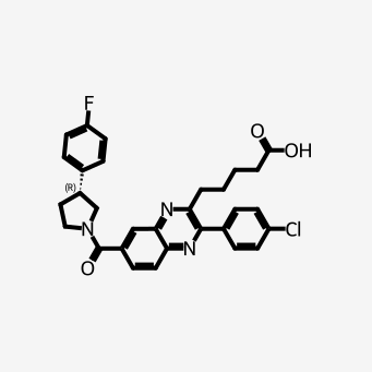 O=C(O)CCCCc1nc2cc(C(=O)N3CC[C@H](c4ccc(F)cc4)C3)ccc2nc1-c1ccc(Cl)cc1